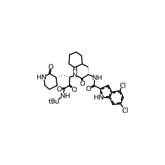 CC(C)(C)NC(=O)C(=O)[C@H](C[C@@H]1CCCNC1=O)NC(=O)[C@H](CC1CCCCC1)NC(=O)c1cc2c(Cl)cc(Cl)cc2[nH]1